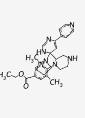 CCOC(=O)c1cnc(N2CCNCC2C2(N3CCCC3C)C=C(c3ccncc3)N=CN2)c(C)c1